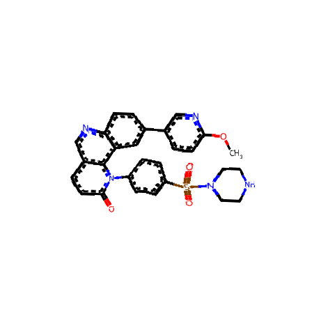 COc1ccc(-c2ccc3ncc4ccc(=O)n(-c5ccc(S(=O)(=O)N6CCNCC6)cc5)c4c3c2)cn1